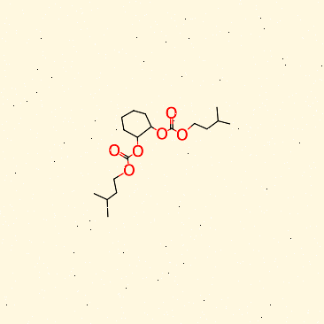 CC(C)CCOC(=O)OC1CCCCC1OC(=O)OCCC(C)C